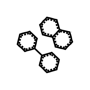 [c]1cccc2ccccc12.c1ccc(-c2ccccc2)cc1